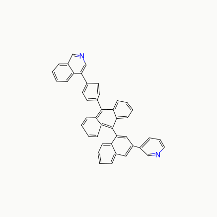 c1cncc(-c2cc(-c3c4ccccc4c(-c4ccc(-c5cncc6ccccc56)cc4)c4ccccc34)c3ccccc3c2)c1